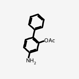 CC(=O)Oc1cc(N)ccc1-c1ccccc1